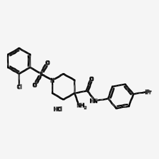 CC(C)c1ccc(NC(=O)C2(N)CCN(S(=O)(=O)c3ccccc3Cl)CC2)cc1.Cl